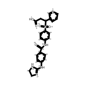 O=C(O)CC(c1cccnc1)S(=O)(=O)c1ccc(NC(=O)c2ccc(NC3=NCCN3)cc2)cc1